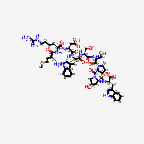 CSCC[C@H](N)C(=O)N[C@@H](CCCCNC(=N)N)C(=O)N[C@@H](CC(=O)O)C(=O)N[C@@H](Cc1c[nH]c2ccccc12)C(=O)N[C@@H](CO)C(=O)N[C@H](C(=O)N1CCC[C@H]1C(=O)N1C[C@H](O)C[C@H]1C(=O)N[C@@H](Cc1c[nH]c2ccccc12)C(=O)O)[C@@H](C)O